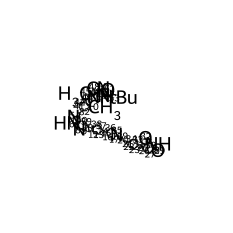 Cc1cc(-c2n[nH]c3ncc(-c4ccc(C5CCN(CCc6ccc(C7CCC(=O)NC7=O)cc6)CC5)cc4)cc23)ccc1[C@@H](C)NC(=O)c1noc(C(C)(C)C)n1